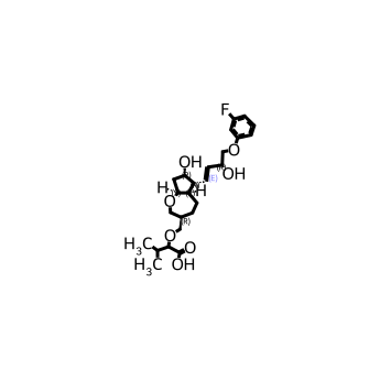 CC(C)C(OC[C@@H]1CC[C@@H]2[C@@H](/C=C/[C@@H](O)COc3cccc(F)c3)[C@H](O)C[C@@H]2OC1)C(=O)O